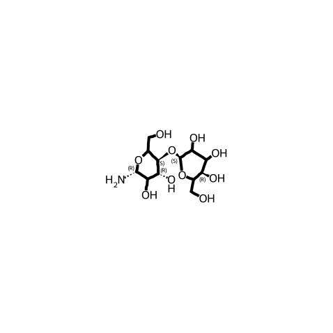 N[C@@H]1OC(CO)[C@@H](O[C@@H]2OC(CO)[C@H](O)C(O)C2O)[C@H](O)C1O